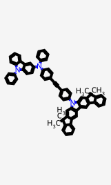 CC1(C)c2ccccc2-c2cc3c4cc5c(cc4n(-c4ccc(C#Cc6ccc(N(c7ccccc7)c7ccc8c(c7)c7ccccc7n8-c7ccccc7)cc6)cc4)c3cc21)C(C)(C)c1ccccc1-5